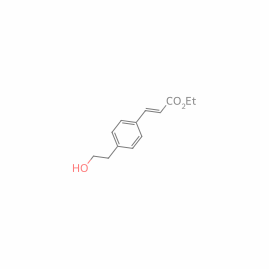 CCOC(=O)C=Cc1ccc(CCO)cc1